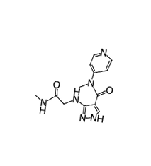 CNC(=O)CNc1n[nH]cc1C(=O)N(C)c1ccncc1